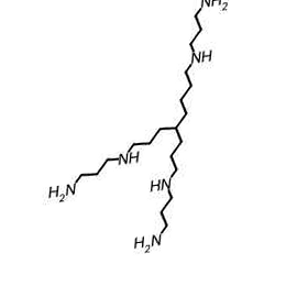 NCCCNCCCCC(CCCNCCCN)CCCNCCCN